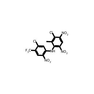 Cc1c(Cl)c([N+](=O)[O-])cc([N+](=O)[O-])c1Nc1cc(Cl)c(C(F)(F)F)cc1[N+](=O)[O-]